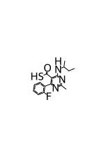 CCC(C)Nc1nc(C)nc(-c2ccccc2F)c1C(=O)S